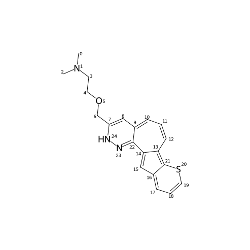 CN(C)CCOCC1=Cc2cccc3c(cc4cccsc43)c2=NN1